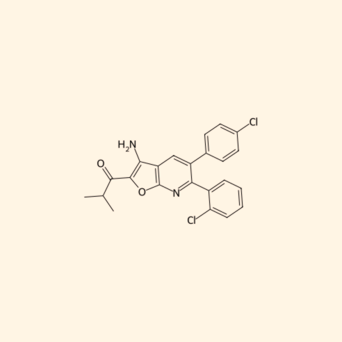 CC(C)C(=O)c1oc2nc(-c3ccccc3Cl)c(-c3ccc(Cl)cc3)cc2c1N